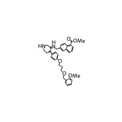 COC(=O)c1cccc2cc(CN[C@@H]3CNCC[C@@H]3c3ccc(OCCCOCc4ccccc4OC)cc3)ccc12